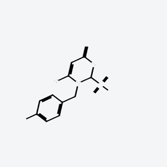 NC1=CC(=O)NC(S(=O)(=O)O)N1Cc1ccc(F)cc1